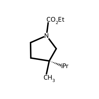 CCOC(=O)N1CC[C@@](C)(C(C)C)C1